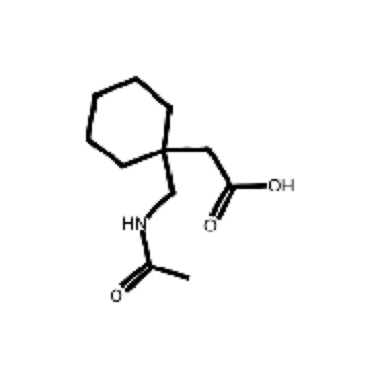 O=C(O)CC1(CNC(=O)I)CCCCC1